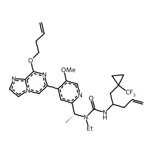 C=CCCOc1nc(-c2cc([C@@H](C)N(CC)C(=O)NC(CC=C)CC3(C(F)(F)F)CC3)ncc2OC)cn2ccnc12